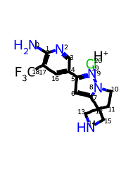 Nc1ncc(-c2cc3n(n2)CCC32CNC2)cc1C(F)(F)F.[Cl-].[H+]